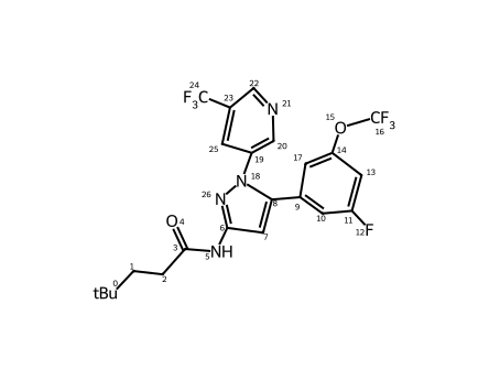 CC(C)(C)CCC(=O)Nc1cc(-c2cc(F)cc(OC(F)(F)F)c2)n(-c2cncc(C(F)(F)F)c2)n1